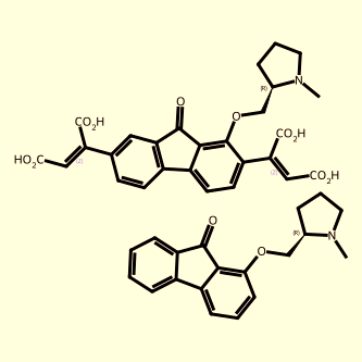 CN1CCC[C@@H]1COc1c(/C(=C/C(=O)O)C(=O)O)ccc2c1C(=O)c1cc(/C(=C/C(=O)O)C(=O)O)ccc1-2.CN1CCC[C@@H]1COc1cccc2c1C(=O)c1ccccc1-2